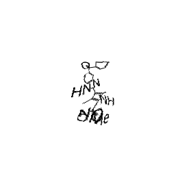 CON(C)C(=O)c1[nH]c(C)c(-c2nc3cc(C(=O)c4ccccc4)ccc3[nH]2)c1C